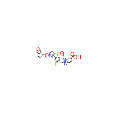 COCCn1c(Cc2cc(F)c(-c3cccc(OCc4cccc5c4COC5)n3)cc2F)nc2ccc(C(=O)O)cc21